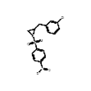 O=[N+]([O-])c1ccc(S(=O)(=O)N2CC2Cc2cccc(Cl)c2)cc1